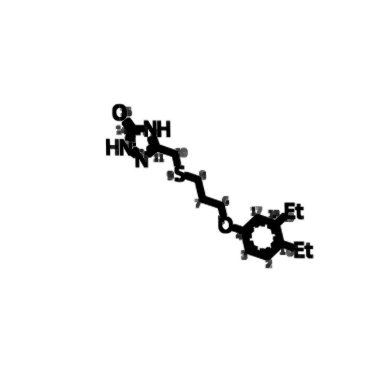 CCc1ccc(OCCCSCc2n[nH]c(=O)[nH]2)cc1CC